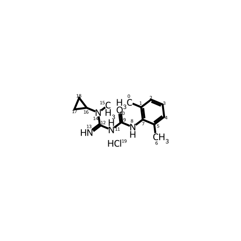 Cc1cccc(C)c1NC(=O)NC(=N)N(C)C1CC1.Cl